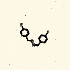 Fc1ccc(/[C]=N\OCc2ccc(F)cc2)cc1